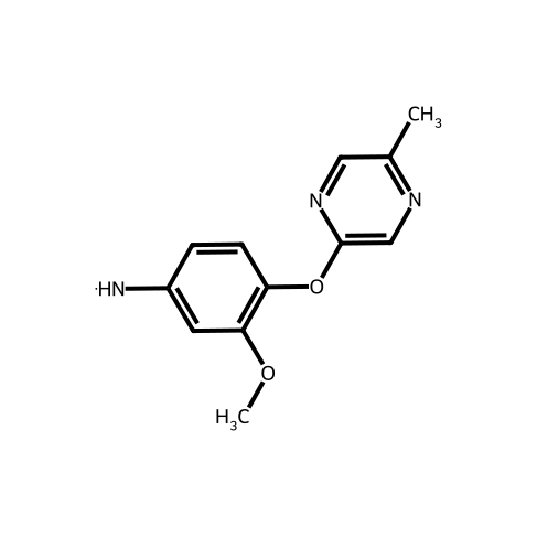 COc1cc([NH])ccc1Oc1cnc(C)cn1